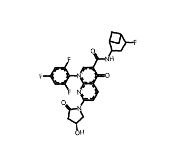 O=C(NC1CC(F)C2CC1C2)c1cn(-c2c(F)cc(F)cc2F)c2nc(N3C[C@@H](O)CC3=O)ccc2c1=O